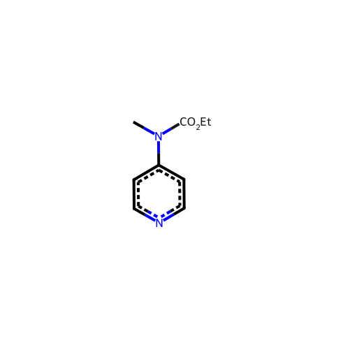 CCOC(=O)N(C)c1ccncc1